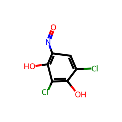 O=Nc1cc(Cl)c(O)c(Cl)c1O